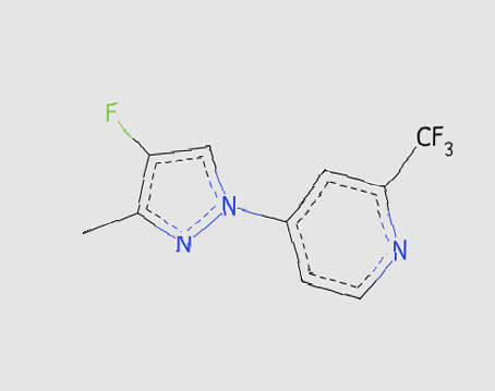 Cc1nn(-c2ccnc(C(F)(F)F)c2)cc1F